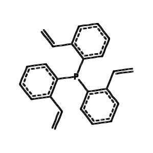 C=Cc1ccccc1P(c1ccccc1C=C)c1ccccc1C=C